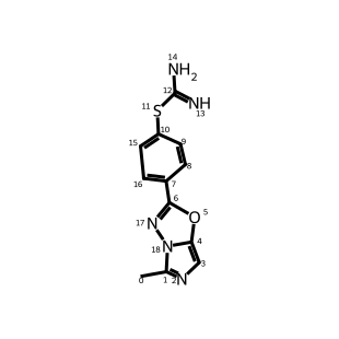 Cc1ncc2oc(-c3ccc(SC(=N)N)cc3)nn12